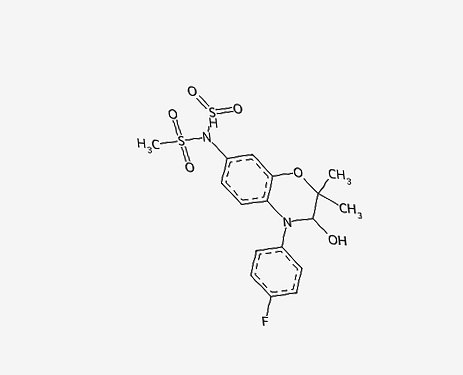 CC1(C)Oc2cc(N([SH](=O)=O)S(C)(=O)=O)ccc2N(c2ccc(F)cc2)C1O